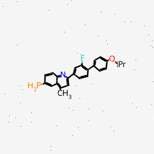 Cc1cc(-c2ccc(-c3ccc(OC(C)C)cc3)c(F)c2)nc2ccc(P)cc12